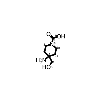 NC1(CO)CCN(C(=O)O)CC1